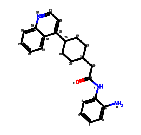 Nc1ccccc1NC(=O)CC1CCC(c2ccnc3ccccc23)CC1